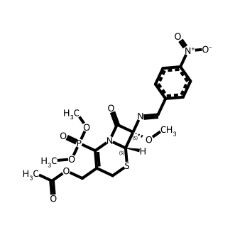 CO[C@@]1(N=Cc2ccc([N+](=O)[O-])cc2)C(=O)N2C(P(=O)(OC)OC)=C(COC(C)=O)CS[C@H]21